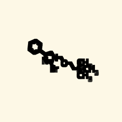 C[Si](C)(C)CCOCn1cc(-c2ccccc2)nc1Br